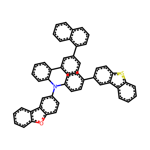 c1cc(-c2ccccc2N(c2ccc(-c3ccc4sc5ccccc5c4c3)cc2)c2ccc3oc4ccccc4c3c2)cc(-c2cccc3ccccc23)c1